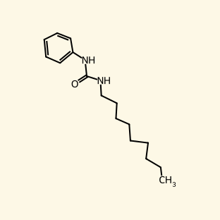 CCCCCCCCCNC(=O)Nc1ccccc1